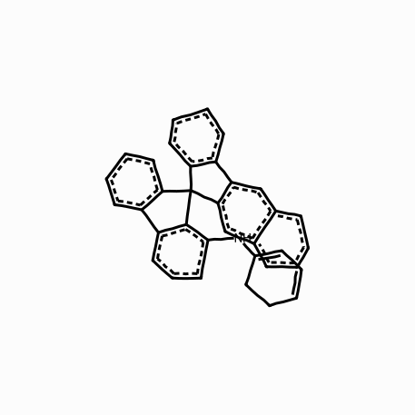 C1=CCCC(Nc2cccc3c2C2(c4ccccc4-c4cc5ccccc5cc42)c2ccccc2-3)=C1